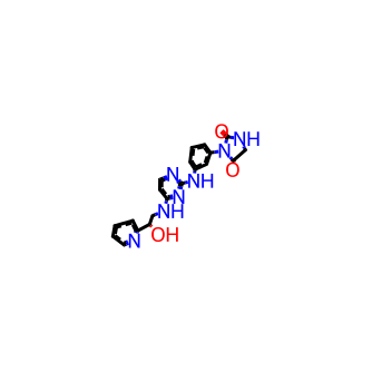 O=C1CNC(=O)N1c1cccc(Nc2nccc(NCC(O)c3ccccn3)n2)c1